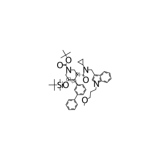 COCCCn1cc(CN(C(=O)[C@H]2CN(C(=O)OC(C)(C)C)C[C@@H](O[Si](C)(C)C(C)(C)C)[C@@H]2c2cccc(-c3ccccc3)c2)C2CC2)c2ccccc21